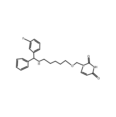 O=c1ccn(COCCCCCNC(c2ccccc2)c2cccc(F)c2)c(=O)[nH]1